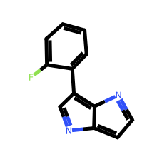 Fc1ccccc1C1=C2N=CC=C2N=C1